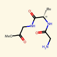 CCC(C)[C@H](NC(=O)CN)C(=O)NCC(=O)OC